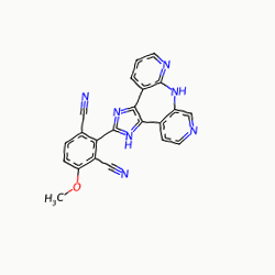 COc1ccc(C#N)c(-c2nc3c([nH]2)-c2ccncc2Nc2ncccc2-3)c1C#N